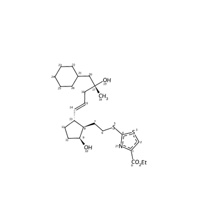 CCOC(=O)c1csc(SCC[C@H]2[C@@H](O)CC[C@@H]2C=CC[C@@](C)(O)CC2CCCCC2)n1